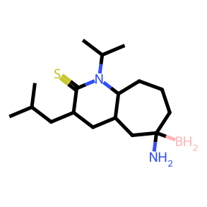 BC1(N)CCCC2C(CC(CC(C)C)C(=S)N2C(C)C)C1